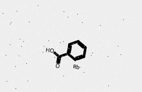 O=C(O)c1ccccc1.[Rb]